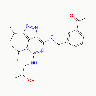 CC(=O)c1cccc(CNc2nc(NCC(C)O)n(C(C)C)c3c(C(C)C)nnc2-3)c1